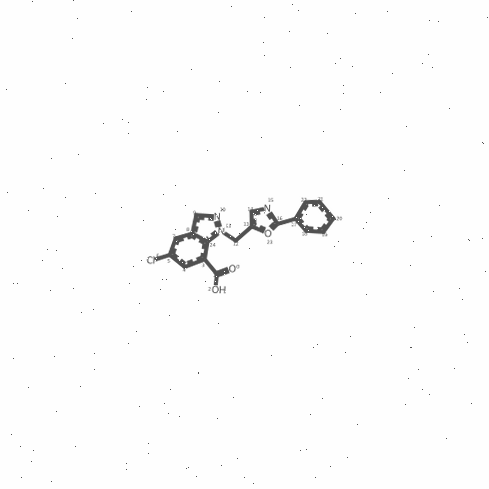 O=C(O)c1cc(Cl)cc2cnn(Cc3cnc(-c4ccccc4)o3)c12